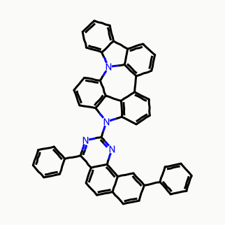 c1ccc(-c2ccc3ccc4c(-c5ccccc5)nc(-n5c6cccc7c8cccc9c%10ccccc%10n(c%10cccc5c%10c76)c89)nc4c3c2)cc1